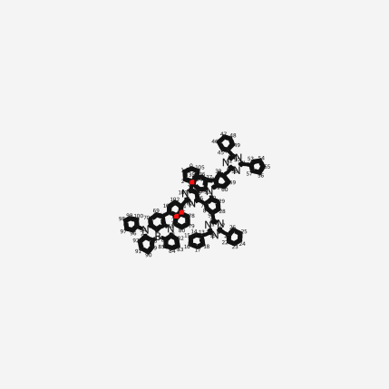 c1ccc(-c2cc(-c3cc(-c4nc(-c5ccccc5)nc(-c5ccccc5)n4)ccc3-n3c4ccccc4c4cc(-c5nc(-c6ccccc6)nc(-c6ccccc6)n5)ccc43)nc(-c3ccc(-c4ccc5c6c4N(c4ccccc4)c4ccccc4B6c4ccccc4N5c4ccccc4)cc3)n2)cc1